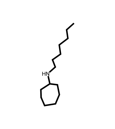 CCCCCCCNC1CCCCCC1